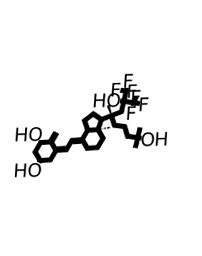 C=C1/C(=C\C=C2/CCC[C@@]3(C)C2CCC3[C@@](C)(CCCC(C)(C)O)CC(O)(C(F)(F)F)C(F)(F)F)CC(O)C[C@@H]1O